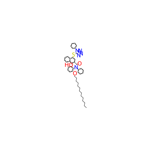 CCCCCCCCCCCCCCOc1ccccc1N(C(=O)c1cc(Sc2nnnn2-c2ccccc2)c2ccccc2c1O)c1ccccc1